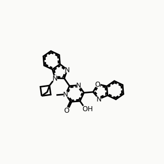 Cn1c(-c2nc3ccccc3n2C23CC(C2)C3)nc(-c2nc3ccccc3o2)c(O)c1=O